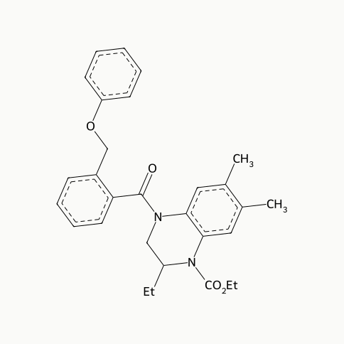 CCOC(=O)N1c2cc(C)c(C)cc2N(C(=O)c2ccccc2COc2ccccc2)CC1CC